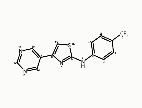 FC(F)(F)c1ccc(Nc2nc(-c3cncnc3)cs2)cc1